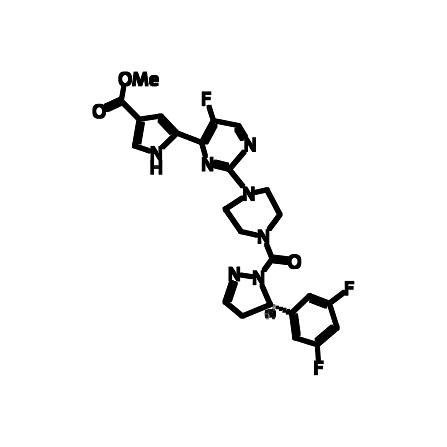 COC(=O)c1c[nH]c(-c2nc(N3CCN(C(=O)N4N=CC[C@H]4c4cc(F)cc(F)c4)CC3)ncc2F)c1